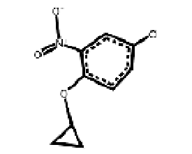 O=[N+]([O-])c1cc(Cl)ccc1OC1CC1